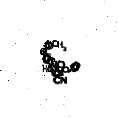 CN1CC[C@H](Oc2ccc3c(c2)CN(C(=O)c2c(O)cc(C#N)cc2OCc2ccccc2)C3)C1